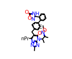 CCCc1c(Cc2ccc(-c3ccccc3-c3noc(=O)[nH]3)cc2)c(=O)n(C(C)C(C)=NOCC)c2nc(C)nn12